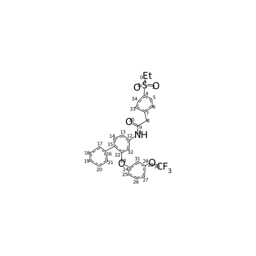 CCS(=O)(=O)c1ccc(CC(=O)Nc2ccc(-c3ccccc3)c(Oc3cccc(OC(F)(F)F)c3)c2)cc1